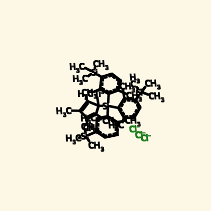 CC1=C(C)[C]([Ti+3])([Si](c2c(C)ccc([Si](C)(C)C)c2C)(c2c(C)ccc([Si](C)(C)C)c2C)c2c(C)ccc([Si](C)(C)C)c2C)C(C)=C1C.[Cl-].[Cl-].[Cl-]